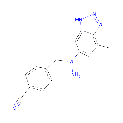 Cc1cc(N(N)Cc2ccc(C#N)cc2)cc2[nH]nnc12